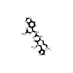 CCCC[C@H](NC(=O)N[C@@H](CC(=O)O)c1ccc2c(c1)OCO2)C(=O)N(C)Cc1ccsc1